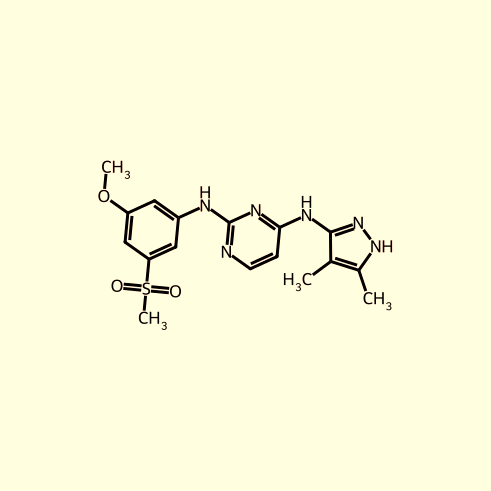 COc1cc(Nc2nccc(Nc3n[nH]c(C)c3C)n2)cc(S(C)(=O)=O)c1